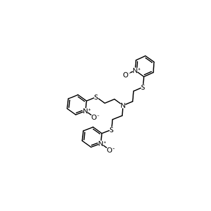 [O-][n+]1ccccc1SCCN(CCSc1cccc[n+]1[O-])CCSc1cccc[n+]1[O-]